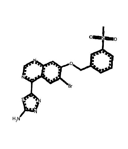 CS(=O)(=O)c1cccc(COc2cc3ncnc(-c4nnc(N)s4)c3cc2Br)c1